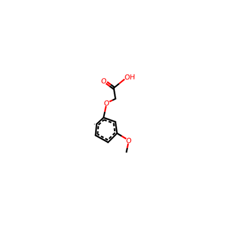 COc1cc[c]c(OCC(=O)O)c1